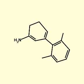 Cc1cccc(C)c1C1=CCCC(N)=C1